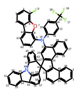 Fc1cccc2c1oc1c(N(c3ccc(C(F)(F)F)cc3)c3cc4c(c5ccccc35)-c3c(ccc5ccccc35)C43c4ccccc4-n4c5ccccc5c5cccc3c54)cccc12